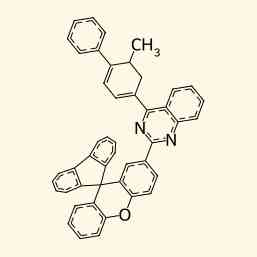 CC1CC(c2nc(-c3ccc4c(c3)C3(c5ccccc5O4)c4ccccc4-c4ccccc43)nc3ccccc23)=CC=C1c1ccccc1